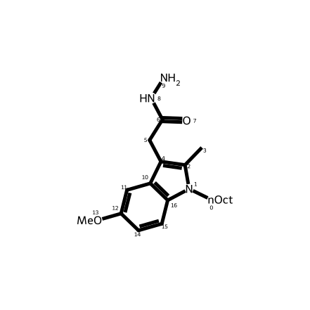 CCCCCCCCn1c(C)c(CC(=O)NN)c2cc(OC)ccc21